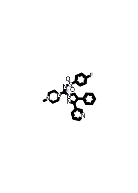 CN1CCN(/C(=N/S(=O)(=O)c2ccc(F)cc2)N2CC(c3ccccc3)C(c3cccnc3)=N2)CC1